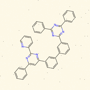 c1ccc(-c2cc(-c3cccc(-c4cccc(-c5nc(-c6ccccc6)nc(-c6ccccc6)n5)c4)c3)nc(-c3ccccn3)n2)cc1